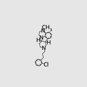 CN1CCN2c3c(cccc31)[C@@H]1CN(CCCc3ccccc3Cl)CC[C@@H]12